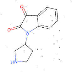 O=C1C(=O)N(C2CCNC2)c2ccccc21